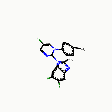 Cc1ccc(N2C=C(F)C=NC2n2c(C)nc3cc(F)c(F)cc32)cc1